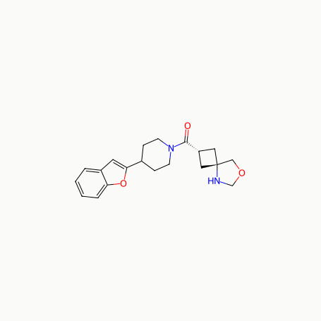 O=C([C@H]1C[C@]2(COCN2)C1)N1CCC(c2cc3ccccc3o2)CC1